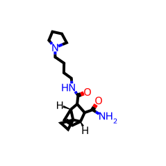 NC(=O)C1C(C(=O)NCCCCN2CCCC2)[C@H]2C=C[C@@H]1C21CC1